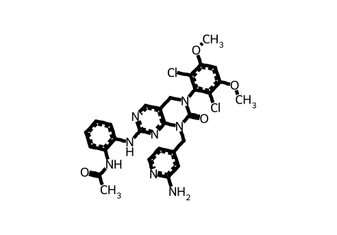 COc1cc(OC)c(Cl)c(N2Cc3cnc(Nc4ccccc4NC(C)=O)nc3N(Cc3ccnc(N)c3)C2=O)c1Cl